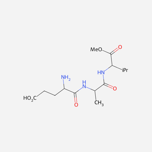 COC(=O)C(NC(=O)C(C)NC(=O)C(N)CCC(=O)O)C(C)C